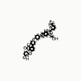 Cn1c(=O)n(C2CCC(=O)NC2=O)c2cccc(C3CCN(C[C@H]4CC[C@H](n5cc6cc(NC(=O)c7cccc(C(F)(F)F)n7)c(OCCO)cc6n5)CC4)CC3)c21